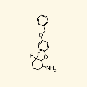 N[C@H]1CCCC(F)(F)[C@H]1Oc1ccc(OCc2ccccc2)cc1